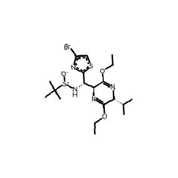 CCOC1=N[C@H](C(C)C)C(OCC)=N[C@H]1[C@H](N[S+]([O-])C(C)(C)C)c1nc(Br)cs1